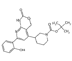 CC(C)(C)OC(=O)N1CCCC(c2cc(-c3ccccc3O)nc3c2COC(=O)N3)C1